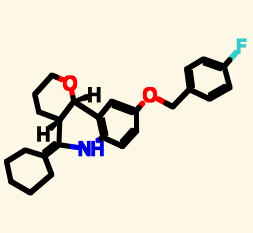 Fc1ccc(COc2ccc3c(c2)[C@H]2OCCC[C@H]2C(=C2CCCCC2)N3)cc1